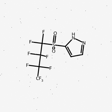 O=S(=O)(c1ccn[nH]1)C(F)(F)C(F)(F)C(F)(F)C(F)(F)F